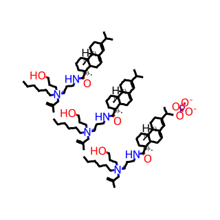 C=C(C)C[N+](CCCO)(CCCCCC)CCCNC(=O)[C@@]1(C)CCC[C@@]2(C)C1CC=C1C=C(C(C)C)CC[C@H]12.C=C(C)C[N+](CCCO)(CCCCCC)CCCNC(=O)[C@@]1(C)CCC[C@@]2(C)C1CC=C1C=C(C(C)C)CC[C@H]12.C=C(C)C[N+](CCCO)(CCCCCC)CCCNC(=O)[C@@]1(C)CCC[C@@]2(C)C1CC=C1C=C(C(C)C)CC[C@H]12.O=P([O-])([O-])[O-]